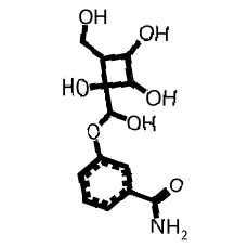 NC(=O)c1cccc(OC(O)C2(O)C(O)C(O)C2CO)c1